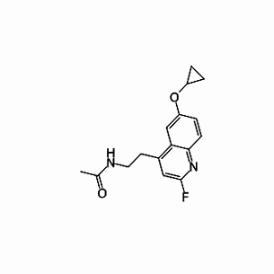 CC(=O)NCCc1cc(F)nc2ccc(OC3CC3)cc12